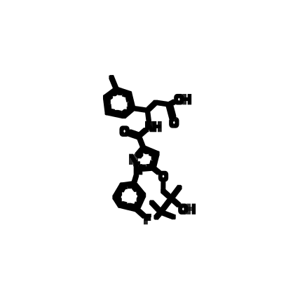 Cc1cccc(C(CC(=O)O)NC(=O)c2cc(OCC(C)(O)C(C)(C)C)n(-c3cccc(F)c3)n2)c1